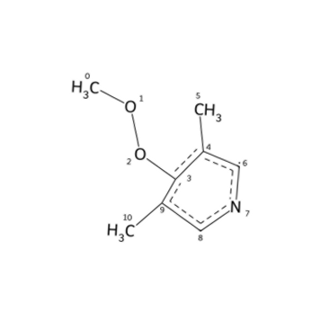 COOc1c(C)[c]ncc1C